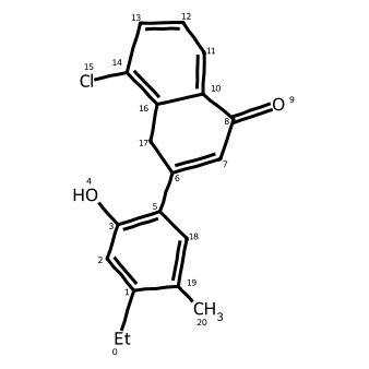 CCc1cc(O)c(C2=CC(=O)c3cccc(Cl)c3C2)cc1C